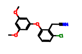 COc1cc(OC)cc(Oc2cccc(Cl)c2CC#N)c1